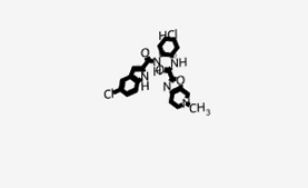 CN1CCc2nc(C(=O)N[C@H]3CCCC[C@H]3NC(=O)c3cc4cc(Cl)ccc4[nH]3)oc2C1.Cl